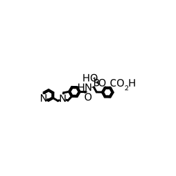 O=C(N[C@H]1Cc2cccc(C(=O)O)c2OB1O)c1ccc2c(c1)CN(Cc1cccnc1)C2